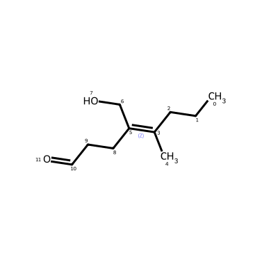 CCC/C(C)=C(\CO)CCC=O